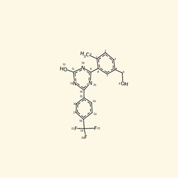 Cc1ccc(CO)cc1-c1nc(O)nc(-c2ccc(C(F)(F)F)cc2)n1